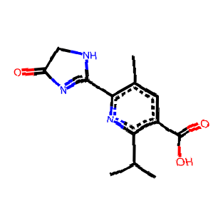 Cc1cc(C(=O)O)c(C(C)C)nc1C1=NC(=O)CN1